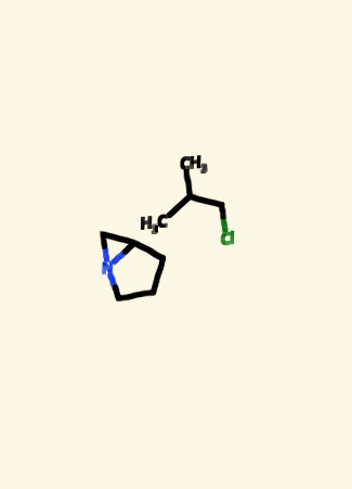 C1CC2CN2C1.CC(C)CCl